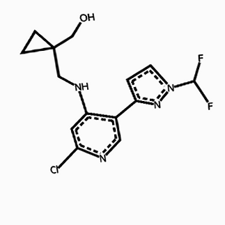 OCC1(CNc2cc(Cl)ncc2-c2ccn(C(F)F)n2)CC1